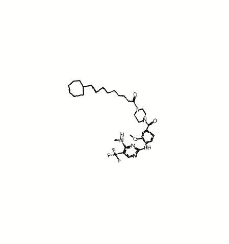 CNc1nc(Nc2ccc(C(=O)N3CCN(C(=O)CCCCCCCCC4CCCCCC4)CC3)cc2OC)ncc1C(F)(F)F